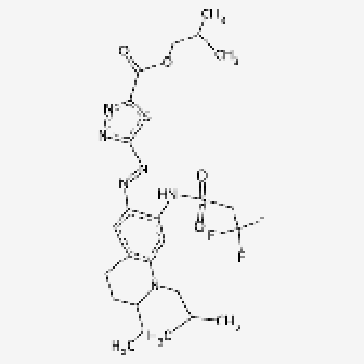 CCC1CCc2cc(N=Nc3nnc(C(=O)OCC(C)C)s3)c(NS(=O)(=O)CC(F)(F)F)cc2N1CC(C)C